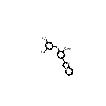 COc1cc(-c2cn3ccccc3n2)ccc1Oc1cc(C(F)(F)F)cc(C(F)(F)F)c1